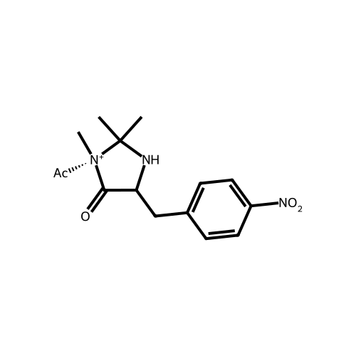 CC(=O)[N@@+]1(C)C(=O)C(Cc2ccc([N+](=O)[O-])cc2)NC1(C)C